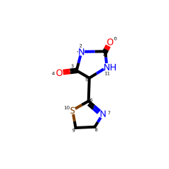 O=C1[N]C(=O)C(C2=NCCS2)N1